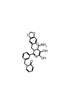 NC(=O)C1C(O)=C(O)N=C(c2cccc(Cn3ccccc3=O)c2)N1Cc1ccc2c(c1)OCO2